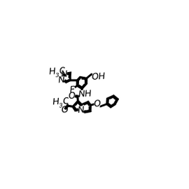 CC(=O)c1cn2ccc(OCc3ccccc3)cc2c1C(=O)Nc1cc(CO)cc(-c2cnn(C)c2)c1F